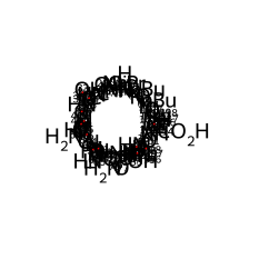 CCCC[C@H]1C(=O)N(C)[C@@H](CCCC)C(=O)N[C@@H](CC(C)C)C(=O)N[C@H](C(N)=O)CNCC(=O)N[C@@H](Cc2ccc(O)cc2)C(=O)N2CCCC[C@H]2C(=O)N[C@@H](CC(N)=O)C(=O)N2CCC[C@H]2C(=O)N[C@@H](Cc2c[nH]cn2)C(=O)N[C@@H](CCC(N)=O)C(=O)N2C[C@H](O)C[C@H]2C(=O)N[C@@H](Cc2c[nH]c3ccccc23)C(=O)N[C@@H](C)C(=O)N[C@@H](Cc2cn(CC(=O)O)c3ccccc23)C(=O)N1C